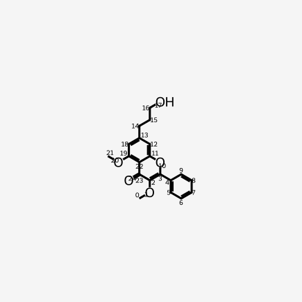 COc1c(-c2ccccc2)oc2cc(CCCO)cc(OC)c2c1=O